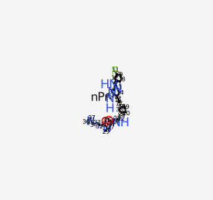 CCCNc1nc(Nc2cccc(F)c2)ncc1C#C[C@@H]1CC[C@H](CCNC(=O)CN(C)C(=O)/C=C/CN(C)C)C1